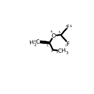 C=C(CC)OC(F)F